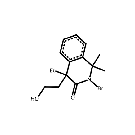 CCC1(CCO)C(=O)N(Br)C(C)(C)c2ccccc21